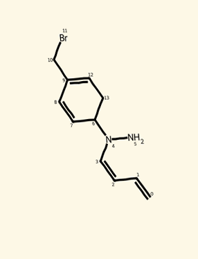 C=C/C=C\N(N)C1C=CC(CBr)=CC1